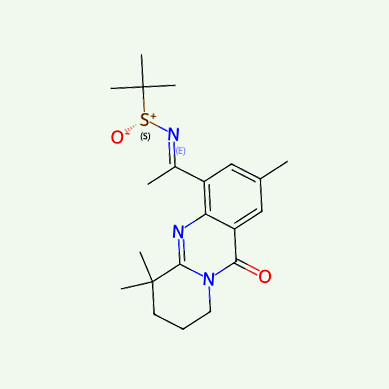 C/C(=N\[S@+]([O-])C(C)(C)C)c1cc(C)cc2c(=O)n3c(nc12)C(C)(C)CCC3